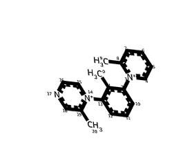 Cc1c(-[n+]2ccccc2C)cccc1-[n+]1ccncc1C